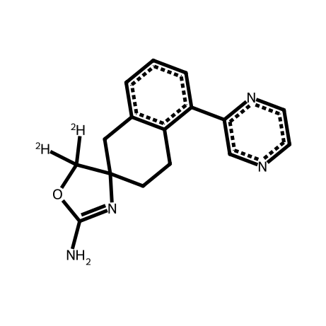 [2H]C1([2H])OC(N)=NC12CCc1c(cccc1-c1cnccn1)C2